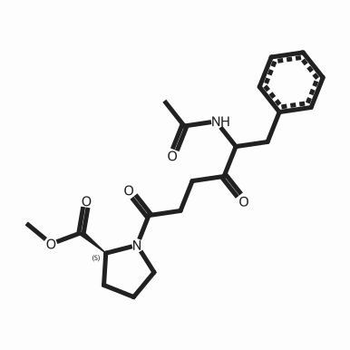 COC(=O)[C@@H]1CCCN1C(=O)CCC(=O)C(Cc1ccccc1)NC(C)=O